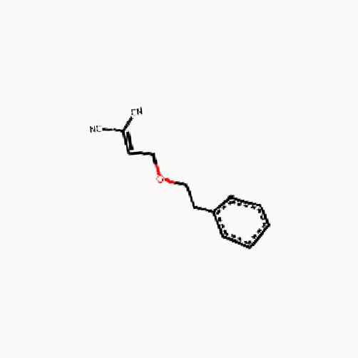 N#CC(C#N)=CCOCCc1ccccc1